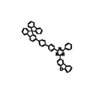 c1ccc(-c2nc(-c3ccc(-c4ccc(-c5ccc6c(c5)C5(c7ccccc7-c7ccccc75)c5ccccc5-6)cc4)cc3)nc(-c3ccc4oc5ccccc5c4c3)n2)cc1